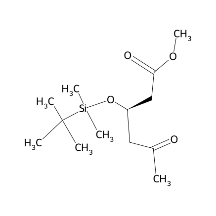 COC(=O)C[C@@H](CC(C)=O)O[Si](C)(C)C(C)(C)C